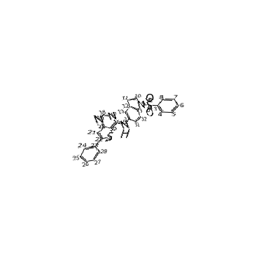 O=S(=O)(c1ccccc1)n1ccc2cc(Nc3ncnc4cc(-c5ccccc5)sc34)ccc21